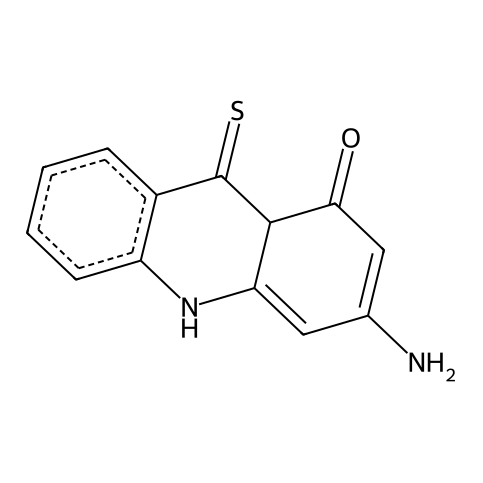 NC1=CC(=O)C2C(=S)c3ccccc3NC2=C1